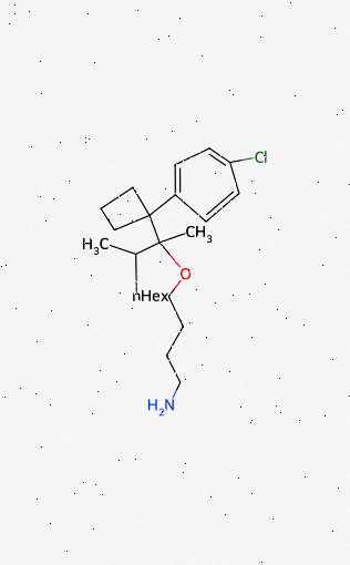 CCCCCCC(C)C(C)(OCCCCN)C1(c2ccc(Cl)cc2)CCC1